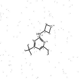 CCc1cc(C(C)(C)C)nc(NC2COC2)n1